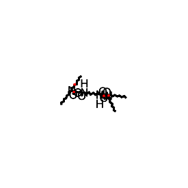 CCCCCCCCN(CCCCCCCC)C(=O)COCC(=O)NCCCCCCNC(=O)C(OC)C(=O)N(CCCCCCCC)CCCCCCCC